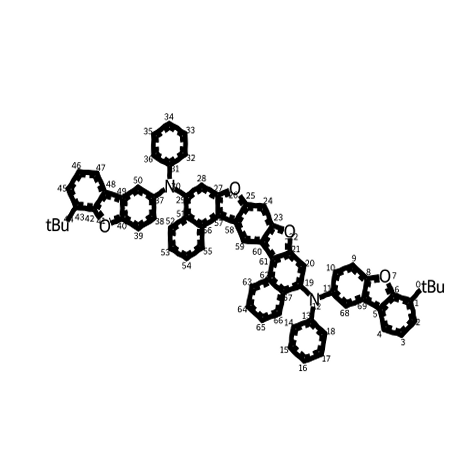 CC(C)(C)c1cccc2c1oc1ccc(N(c3ccccc3)c3cc4oc5cc6oc7cc(N(c8ccccc8)c8ccc9oc%10c(C(C)(C)C)cccc%10c9c8)c8ccccc8c7c6cc5c4c4ccccc34)cc12